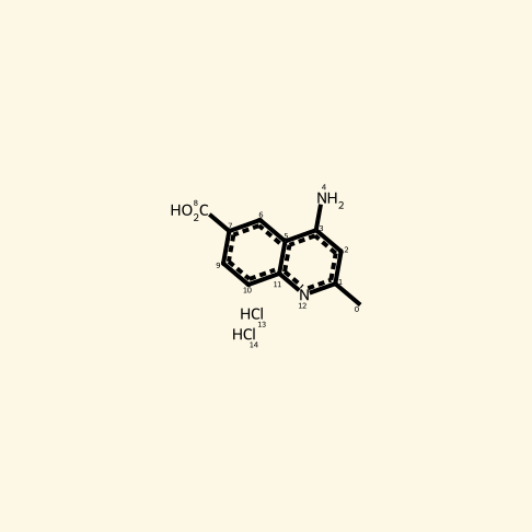 Cc1cc(N)c2cc(C(=O)O)ccc2n1.Cl.Cl